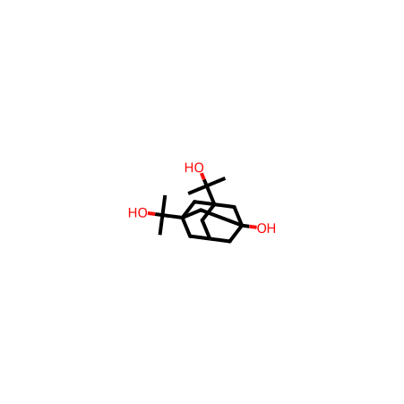 CC(C)(O)C12CC3CC(O)(C1)CC(C(C)(C)O)(C3)C2